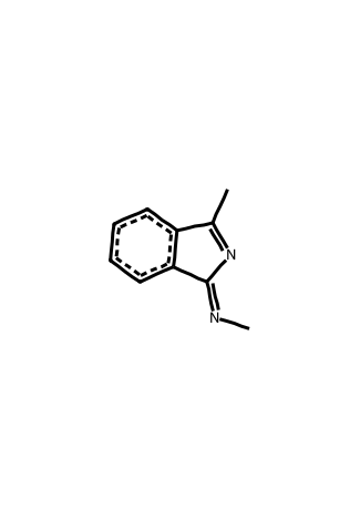 CN=C1N=C(C)c2ccccc21